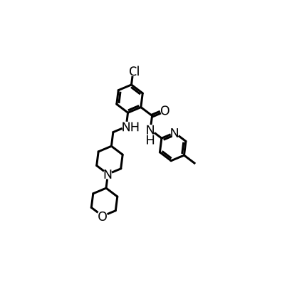 Cc1ccc(NC(=O)c2cc(Cl)ccc2NCC2CCN(C3CCOCC3)CC2)nc1